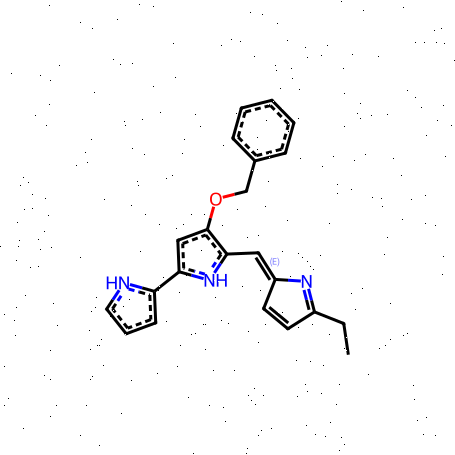 CCC1=N/C(=C/c2[nH]c(-c3ccc[nH]3)cc2OCc2ccccc2)C=C1